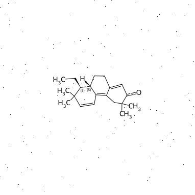 CC[C@H]1[C@@H]2CCC3=CC(=O)C(C)(C)CC3=C2C=CC1(C)C